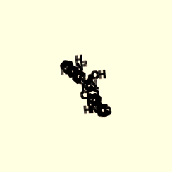 N[C@@H]1c2cccnc2CC12CCN(c1ncc(Sc3cc4c5c([nH]c4nc3Cl)CCOC5)nc1CO)CC2